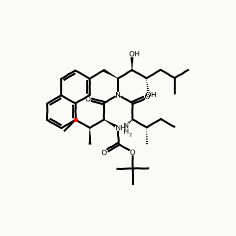 CC[C@H](C)[C@H](N)C(=O)N(C(=O)[C@@H](NC(=O)OC(C)(C)C)[C@@H](C)CC)[C@@H](Cc1ccc2ccccc2c1)[C@@H](O)[C@@H](O)CC(C)C